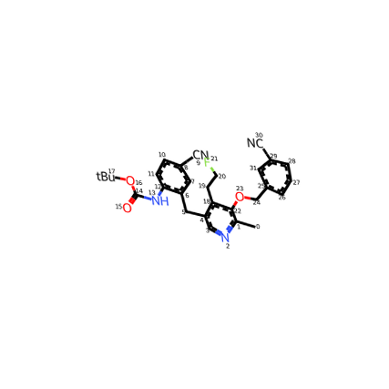 Cc1ncc(Cc2cc(C#N)ccc2NC(=O)OC(C)(C)C)c(CCF)c1OCc1cccc(C#N)c1